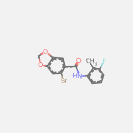 Cc1c(F)cccc1NC(=O)c1cc2c(cc1Br)OCO2